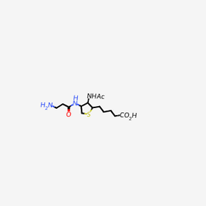 CC(=O)NC1C(NC(=O)CCN)CSC1CCCCC(=O)O